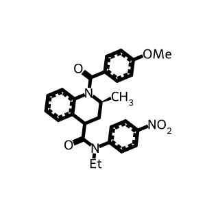 CCN(C(=O)C1C[C@H](C)N(C(=O)c2ccc(OC)cc2)c2ccccc21)c1ccc([N+](=O)[O-])cc1